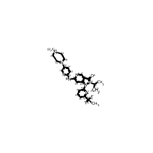 CC(C)n1c(=O)c2cnc(Nc3ccc(N4CCN(C)CC4)cn3)cc2n1-c1cccc(C(C)(F)F)n1